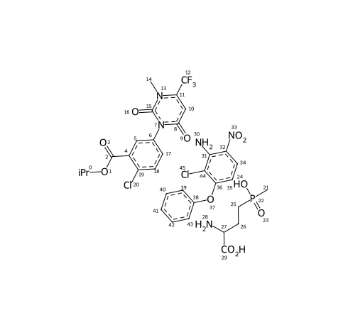 CC(C)OC(=O)c1cc(-n2c(=O)cc(C(F)(F)F)n(C)c2=O)ccc1Cl.CP(=O)(O)CCC(N)C(=O)O.Nc1c([N+](=O)[O-])ccc(Oc2ccccc2)c1Cl